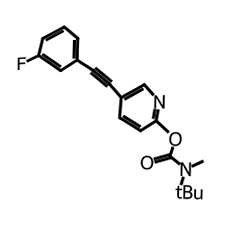 CN(C(=O)Oc1ccc(C#Cc2cccc(F)c2)cn1)C(C)(C)C